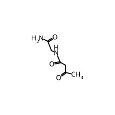 CC(=O)CC(=O)NCC(N)=O